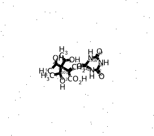 C=C(C(=O)O)C(C(C)O)(C(C)O)C(C)O.O=c1[nH]c(=O)[nH]c(=O)[nH]1